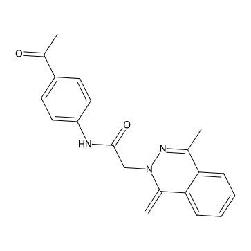 C=C1c2ccccc2C(C)=NN1CC(=O)Nc1ccc(C(C)=O)cc1